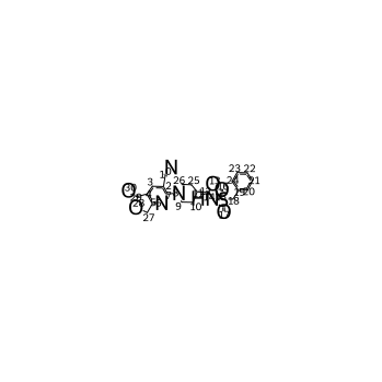 N#Cc1cc2c(nc1N1CCC(C(=O)NS(=O)(=O)Cc3ccccc3)CC1)COC2=O